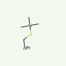 [CH2]CCCS[Si](C)(C)C